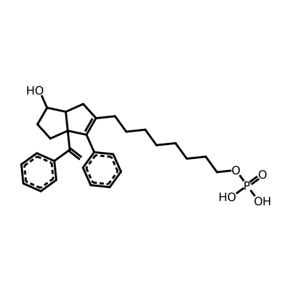 C=C(c1ccccc1)C12CCC(O)C1CC(CCCCCCCCOP(=O)(O)O)=C2c1ccccc1